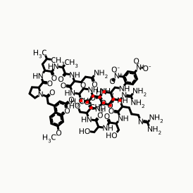 COc1ccc2c(CC(=O)N3CCCC3C(=O)NC(CC(C)C)C(=O)NC(C)C(=O)NC(CCC(N)=O)C(=O)NC(C)C(=O)NC(C(=O)NC(CNc3ccc([N+](=O)[O-])cc3[N+](=O)[O-])C(=O)NC(CCCN=C(N)N)C(=O)NC(CO)C(=O)NC(CO)C(=O)NC(CO)C(=O)NC(CCCN=C(N)N)C(N)=O)C(C)C)cc(=O)oc2c1